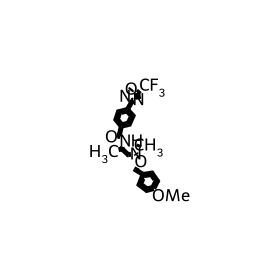 COc1ccc(CON(C)CC(C)NC(=O)c2ccc(-c3noc(C(F)(F)F)n3)cc2)cc1